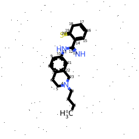 CCCCN1CCc2ccc(NC(=N)C3=CC=CCC3=S)cc2C1